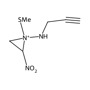 C#CCN[N+]1(SC)CC1[N+](=O)[O-]